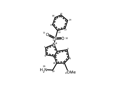 COc1ccc2c(ccn2S(=O)(=O)c2ccccc2)c1CN